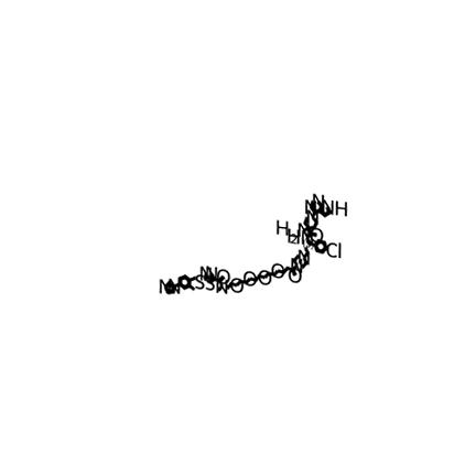 Cc1cc(-n2ccnc2)ccc1CSc1nnc(C(=O)N(C)CCOCCOCCOCCOCCC(=O)N2CCN(CC[C@H](NC(=O)C3(N)CCN(c4ncnc5[nH]ccc45)CC3)c3ccc(Cl)cc3)CC2)s1